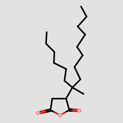 CCCCCCCCC(C)(CCCCCC)C1CC(=O)OC1=O